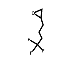 FC(F)(F)CCCC1CO1